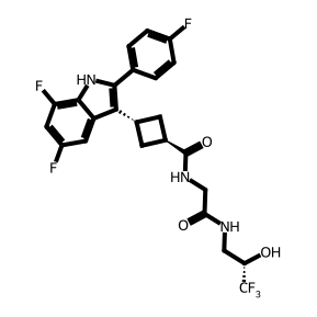 O=C(CNC(=O)[C@H]1C[C@H](c2c(-c3ccc(F)cc3)[nH]c3c(F)cc(F)cc32)C1)NC[C@H](O)C(F)(F)F